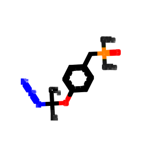 CCC(C)(N=[N+]=[N-])Oc1ccc(CP(=O)(OC)OC)cc1